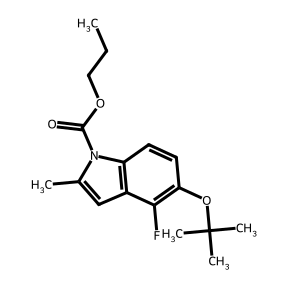 CCCOC(=O)n1c(C)cc2c(F)c(OC(C)(C)C)ccc21